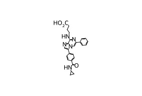 O=C(O)CCCNc1nc(-c2ccccc2)cn2c(-c3ccc(C(=O)NC4CC4)cc3)cnc12